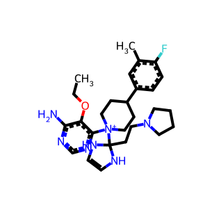 CCOc1c(N)ncnc1[N+]1(C2(CCN3CCCC3)NC=CN2)CCC(c2ccc(F)c(C)c2)CC1